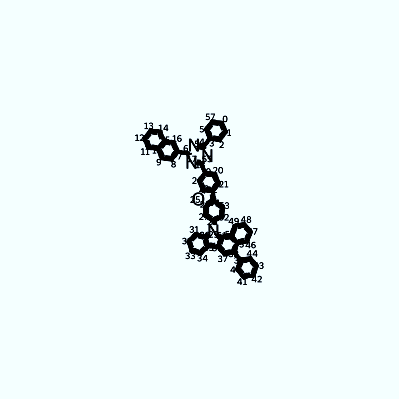 c1ccc(-c2nc(-c3ccc4ccccc4c3)nc(-c3ccc4c(c3)oc3cc(-n5c6ccccc6c6cc(-c7ccccc7)c7ccccc7c65)ccc34)n2)cc1